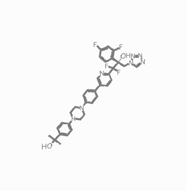 CC(C)(O)c1ccc(N2CCN(c3ccc(-c4ccc(C(F)(F)[C@](O)(Cn5cnnn5)c5ccc(F)cc5F)nc4)cc3)CC2)cc1